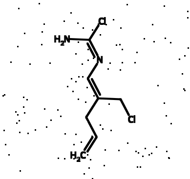 C=CC/C(=C/N=C(\N)Cl)CCl